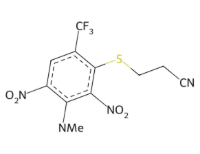 CNc1c([N+](=O)[O-])cc(C(F)(F)F)c(SCCC#N)c1[N+](=O)[O-]